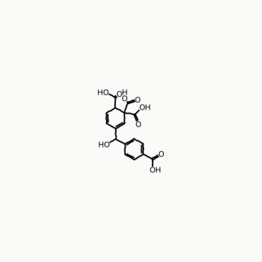 O=C(O)c1ccc(C(O)C2=CC(C(=O)O)(C(=O)O)C(C(=O)O)C=C2)cc1